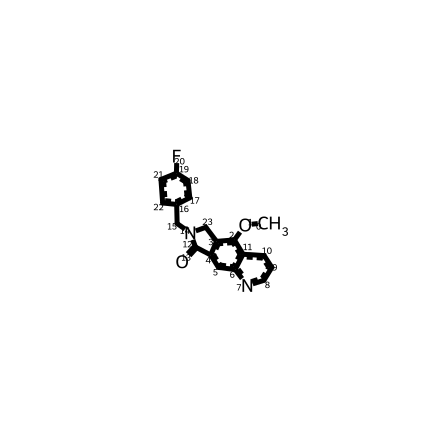 COc1c2c(cc3ncccc13)C(=O)N(Cc1ccc(F)cc1)C2